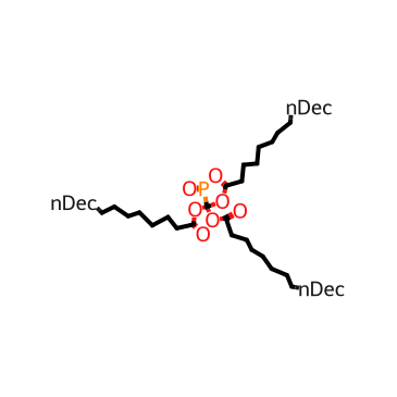 CCCCCCCCCCCCCCCCCC(=O)OC(OC(=O)CCCCCCCCCCCCCCCCC)(OC(=O)CCCCCCCCCCCCCCCCC)P=O